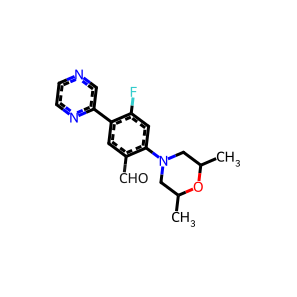 CC1CN(c2cc(F)c(-c3cnccn3)cc2C=O)CC(C)O1